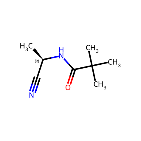 C[C@H](C#N)NC(=O)C(C)(C)C